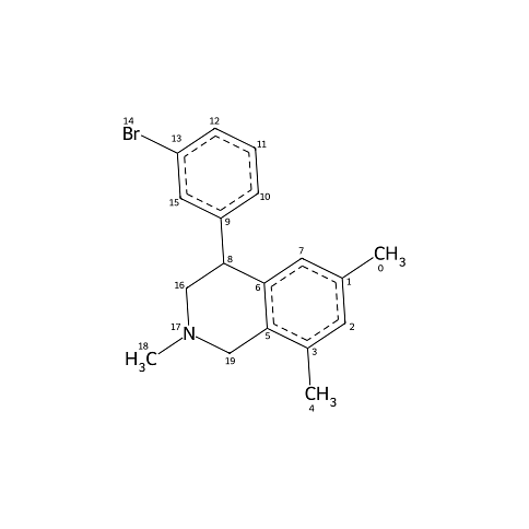 Cc1cc(C)c2c(c1)C(c1cccc(Br)c1)CN(C)C2